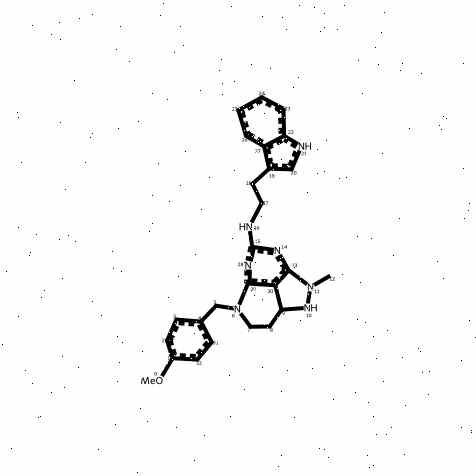 COc1ccc(CN2CCC3NN(C)c4nc(NCCc5c[nH]c6ccccc56)nc2c43)cc1